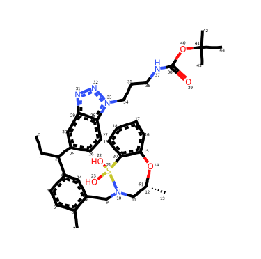 CCC(c1ccc(C)c(CN2C[C@@H](C)Oc3ccccc3S2(O)O)c1)c1ccc2c(c1)nnn2CCCNC(=O)OC(C)(C)C